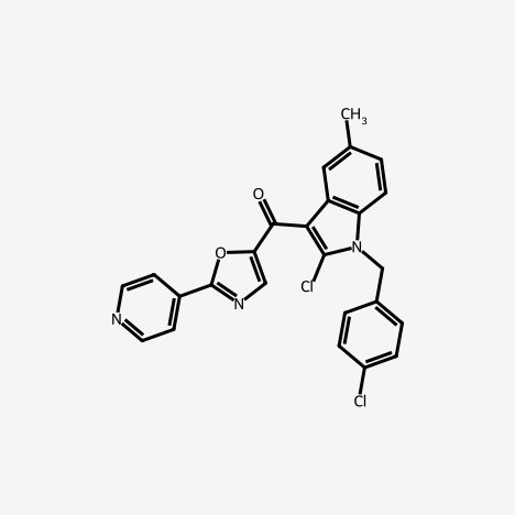 Cc1ccc2c(c1)c(C(=O)c1cnc(-c3ccncc3)o1)c(Cl)n2Cc1ccc(Cl)cc1